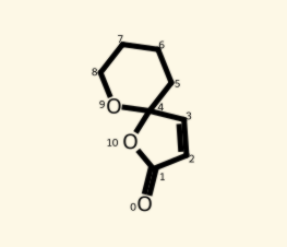 O=C1C=CC2(CCCCO2)O1